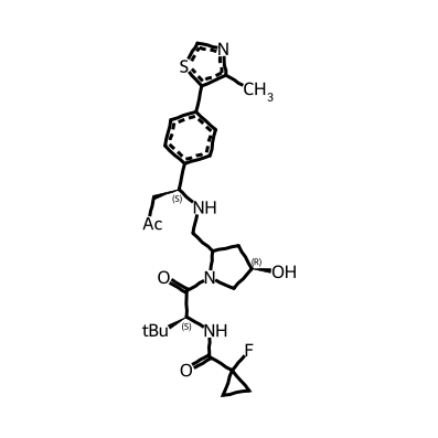 CC(=O)C[C@H](NCC1C[C@@H](O)CN1C(=O)[C@@H](NC(=O)C1(F)CC1)C(C)(C)C)c1ccc(-c2scnc2C)cc1